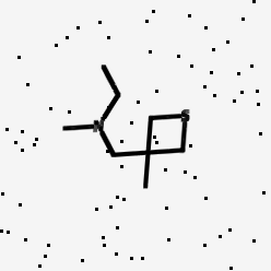 CCN(C)CC1(C)CSC1